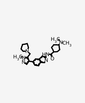 CN(C)C1CCC(C(=O)Nc2cc3cc(-c4cnn(C)c4CN4CCCCC4)ccc3cn2)CC1